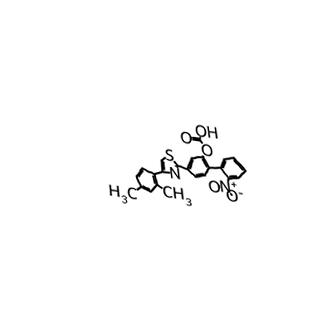 Cc1ccc(-c2csc(-c3ccc(-c4ccccc4[N+](=O)[O-])c(OC(=O)O)c3)n2)c(C)c1